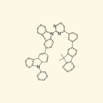 CC1(C)c2ccccc2-c2ccc(-c3cccc(-c4ccnc(-n5c6ccccc6c6cc(C7=CC8c9ccccc9N(c9ccccc9)C8C=C7)ccc65)n4)c3)cc21